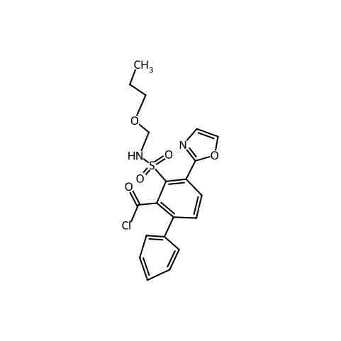 CCCOCNS(=O)(=O)c1c(-c2ncco2)ccc(-c2ccccc2)c1C(=O)Cl